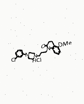 COc1cccc2c1CCC(=O)N2CCCN1CCN(c2cccc(Cl)c2)CC1.Cl